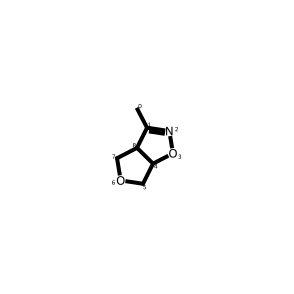 CC1=NOC2COCC12